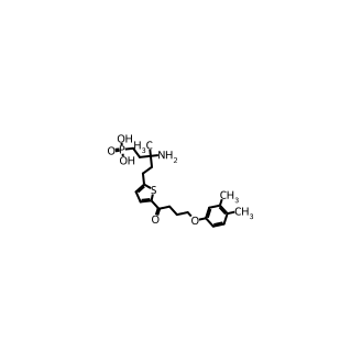 Cc1ccc(OCCCC(=O)c2ccc(CCC(C)(N)CCP(=O)(O)O)s2)cc1C